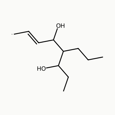 [CH2]/C=C/C(O)C(CCC)C(O)CC